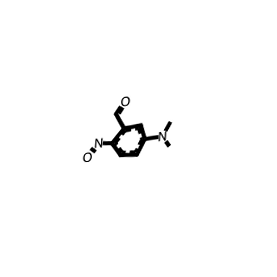 CN(C)c1ccc(N=O)c(C=O)c1